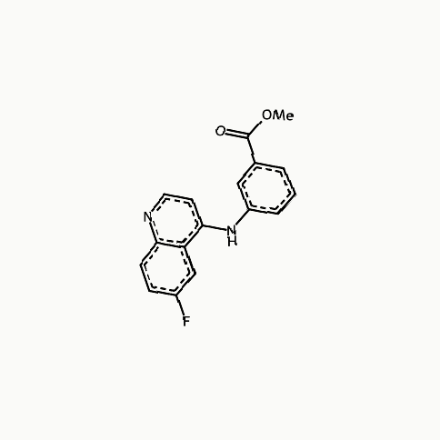 COC(=O)c1cccc(Nc2ccnc3ccc(F)cc23)c1